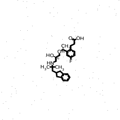 C[C@@H](OC[C@H](O)CNC(C)(C)CC1Cc2ccccc2C1)c1cc(F)ccc1CCC(=O)O